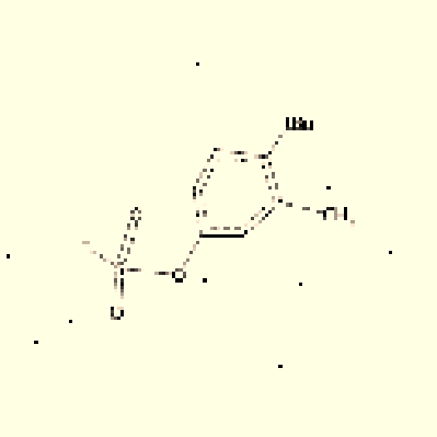 Cc1cc(OS(=O)(=O)F)ccc1C(C)(C)C